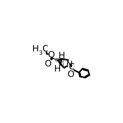 CCOC(=O)[C@H]1[C@@H]2CN(CC(=O)c3ccccc3)C[C@@H]21